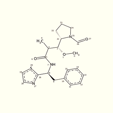 CO[C@H](C(C)C(=O)N[C@@H](Cc1ccccc1)c1nccs1)[C@@H]1CCCN1C=O